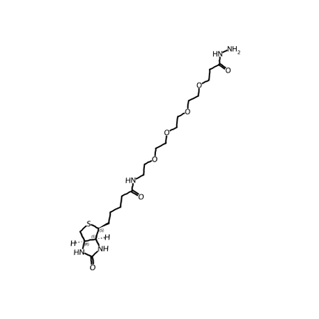 NNC(=O)CCOCCOCCOCCOCCNC(=O)CCCC[C@@H]1SC[C@@H]2NC(=O)N[C@@H]21